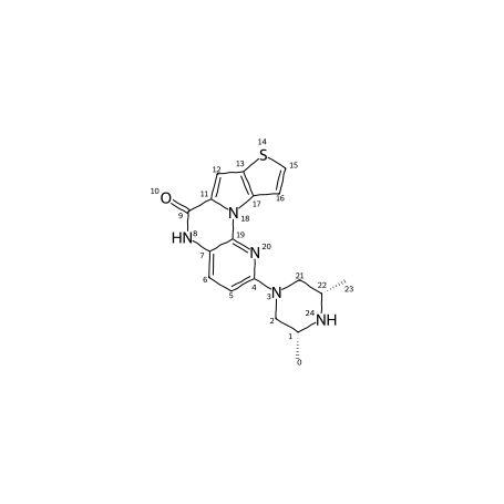 C[C@@H]1CN(c2ccc3[nH]c(=O)c4cc5sccc5n4c3n2)C[C@H](C)N1